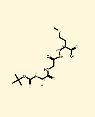 CSCC[C@H](N[Se]C(=O)CNC(=O)[C@H](C)NC(=O)OC(C)(C)C)C(=O)O